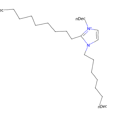 CCCCCCCCCCCCCCCCCCc1n(CCCCCCCCCCCCCCCC)cc[n+]1CCCCCCCCCC